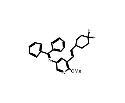 COc1ncc(N=C(c2ccccc2)c2ccccc2)cc1C=CC1CCC(F)(F)CC1